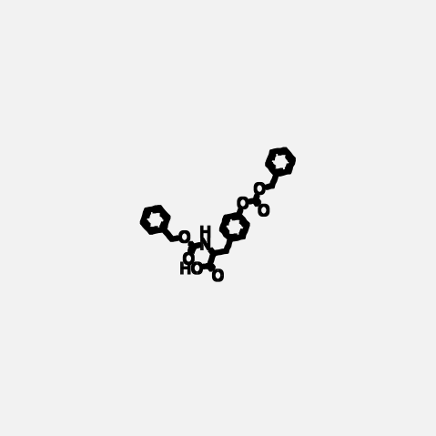 O=C(NC(Cc1ccc(OC(=O)OCc2ccccc2)cc1)C(=O)O)OCc1ccccc1